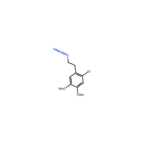 CCc1cc(OC)c(OC)cc1CCN=[N+]=[N-]